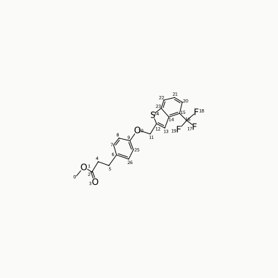 COC(=O)CCc1ccc(OCc2cc3c(C(F)(F)F)cccc3s2)cc1